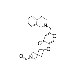 O=CN1CC2(CC(Oc3coc(CN4CCc5ccccc5C4)cc3=O)C2)C1